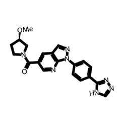 CO[C@@H]1CCN(C(=O)c2cnc3c(cnn3-c3ccc(-c4nnc[nH]4)cc3)c2)C1